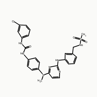 CN(c1ccc(NC(=O)Nc2cccc(Cl)c2)cc1)c1ccnc(Nc2cccc(CNS(C)(=O)=O)c2)n1